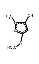 Cn1nc(OC(=O)O)cc1O